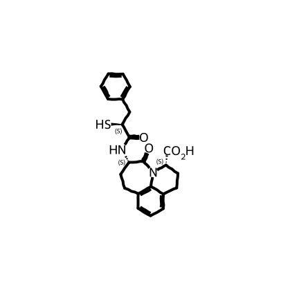 O=C(N[C@H]1CCc2cccc3c2N(C1=O)[C@H](C(=O)O)CC3)[C@@H](S)Cc1ccccc1